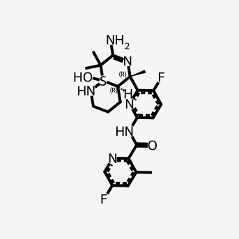 Cc1cc(F)cnc1C(=O)Nc1ccc(F)c([C@@]2(C)N=C(N)C(C)(C)S3(O)NCCC[C@H]23)n1